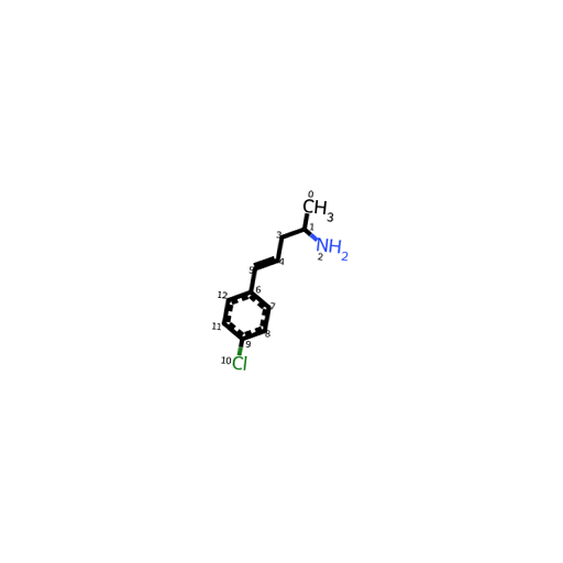 CC(N)CC=Cc1ccc(Cl)cc1